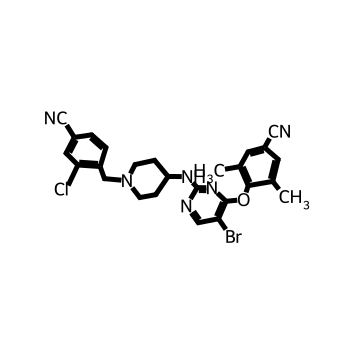 Cc1cc(C#N)cc(C)c1Oc1nc(NC2CCN(Cc3ccc(C#N)cc3Cl)CC2)ncc1Br